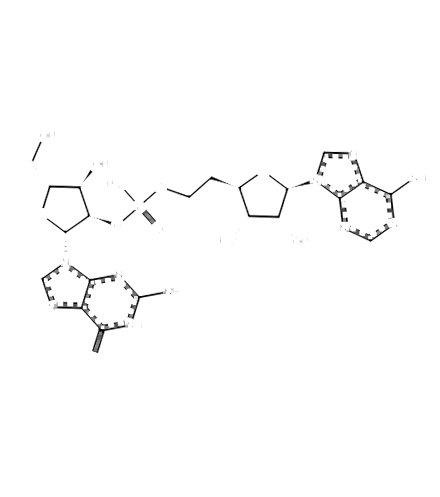 Nc1nc2c(ncn2[C@@H]2O[C@H](CO)[C@@H](O)[C@H]2OP(=O)(O)OCC[C@H]2O[C@@H](n3cnc4c(N)ncnc43)[C@H](O)[C@@H]2O)c(=S)[nH]1